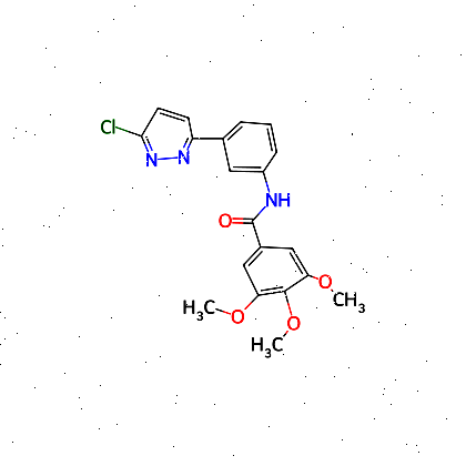 COc1cc(C(=O)Nc2cccc(-c3ccc(Cl)nn3)c2)cc(OC)c1OC